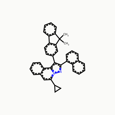 CC1(C)c2ccccc2-c2ccc(-c3c(-c4cccc5ccccc45)nn4c(C5CC5)cc5ccccc5c34)cc21